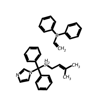 C=CB(c1ccccc1)c1ccccc1.CC(C)=CC[SiH2]C(c1ccccc1)(c1ccccc1)n1ccnc1